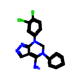 NC1=C2C=NN=C2N(c2ccc(Cl)c(Cl)c2)CN1c1ccccc1